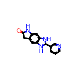 O=C1Cc2cc3c(cc2N1)NC(c1cccnc1)N3